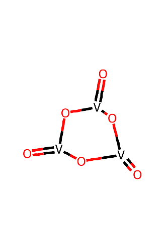 [O]=[V]1[O][V](=[O])[O][V](=[O])[O]1